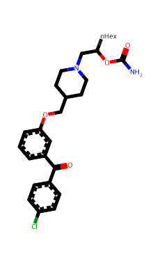 CCCCCCC(CN1CCC(COc2cccc(C(=O)c3ccc(Cl)cc3)c2)CC1)OC(N)=O